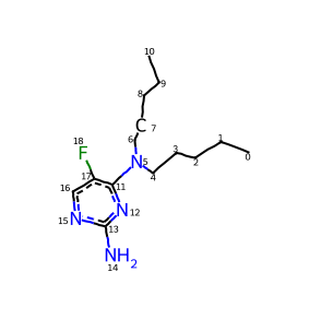 CCCCCN(CCCCC)c1nc(N)ncc1F